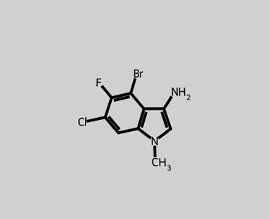 Cn1cc(N)c2c(Br)c(F)c(Cl)cc21